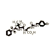 CC1(C)SC(S(=O)(=O)c2ccccc2)NC1C(=O)NC(CNC(=O)NCc1ccc(Br)cc1)C(=O)O